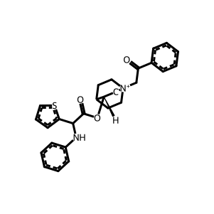 O=C(C[N+]12CCC(CC1)[C@@H](OC(=O)C(Nc1ccccc1)c1cccs1)C2)c1ccccc1